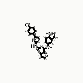 Clc1ccc(-c2csc(Nc3nc(Nc4ccc5[nH]ncc5c4)c4sccc4n3)n2)cc1